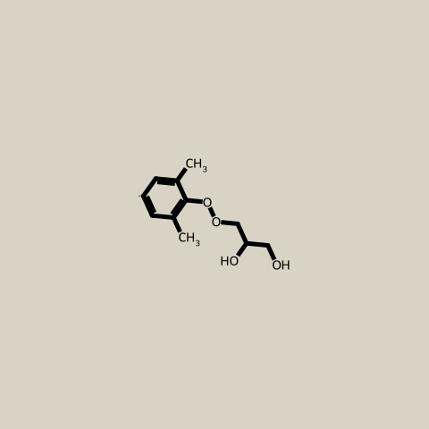 Cc1c[c]cc(C)c1OOCC(O)CO